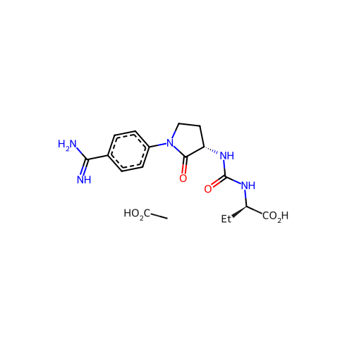 CC(=O)O.CC[C@@H](NC(=O)N[C@H]1CCN(c2ccc(C(=N)N)cc2)C1=O)C(=O)O